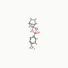 CCC1(OC(=O)c2ccc(C(F)(F)F)cc2)CC2CCC1C2